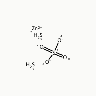 O=S(=O)([O-])[O-].S.S.[Zn+2]